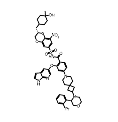 CC(C)c1ccccc1[C@@H]1COCCN1C1CC2(CCN(c3ccc(C(=O)NS(=O)(=O)c4cc5c(c([N+](=O)[O-])c4)S[C@@H](CC4CCC(C)(O)CC4)CO5)c(Oc4cnc5[nH]ccc5c4)c3)CC2)C1